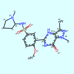 CCCOc1ccc(S(=O)(=O)NC2CCCN2C)cc1-c1nc(=O)c2c([nH]1)c(CCC)nn2C